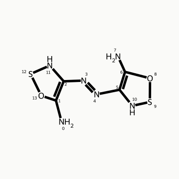 NC1=C(N=NC2=C(N)OSN2)NSO1